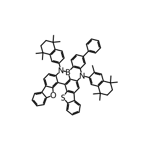 Cc1cc2c(cc1N1c3cc(-c4ccccc4)ccc3B3c4c1cc1c(sc5ccccc51)c4-c1c(ccc4c1oc1ccccc14)N3c1ccc3c(c1)C(C)(C)CCC3(C)C)C(C)(C)CCC2(C)C